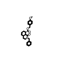 COc1ccc(COC(=O)[C@H]2CC=CC3CCN(Cc4ccccc4)C(=O)C32)cc1